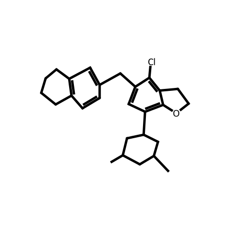 CC1CC(C)CC(c2cc(Cc3ccc4c(c3)CCCC4)c(Cl)c3c2OCC3)C1